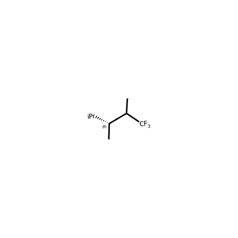 CC(C)[C@@H](C)C(C)C(F)(F)F